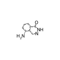 Nc1cccc2c(=O)[nH]ncc12